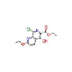 CCOC(=O)c1nc(Cl)c2nc(OCC)ccc2c1O